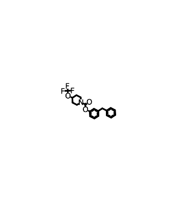 O=C(Oc1cccc(Cc2ccccc2)c1)N1CCC(OC(F)(F)F)CC1